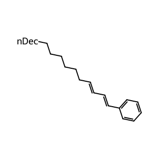 CCCCCCCCCCCCCCCCC=CC=Cc1ccccc1